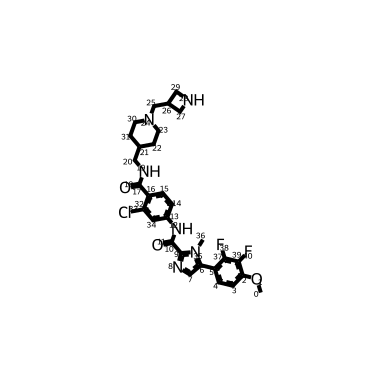 COc1ccc(-c2cnc(C(=O)Nc3ccc(C(=O)NCC4CCN(CC5CNC5)CC4)c(Cl)c3)n2C)c(F)c1F